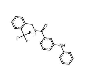 O=C(NCc1ccccc1C(F)(F)F)c1c[c]cc(Nc2ccccc2)c1